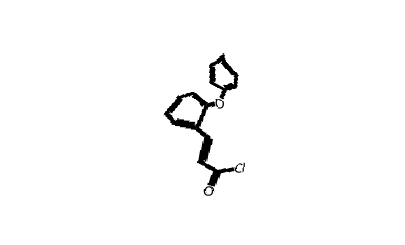 O=C(Cl)C=Cc1ccccc1Oc1ccccc1